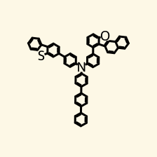 c1ccc(-c2ccc(-c3ccc(N(c4ccc(-c5ccc6c(c5)sc5ccccc56)cc4)c4cccc(-c5cccc6oc7c8ccccc8ccc7c56)c4)cc3)cc2)cc1